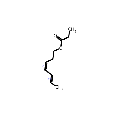 C/C=C/C=C\CCOC(=O)CC